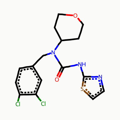 O=C(Nc1nccs1)N(Cc1ccc(Cl)c(Cl)c1)C1CCOCC1